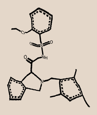 COc1ccccc1S(=O)(=O)NC(=O)C1c2ccccc2CN1Cc1c(C)cc(C)cc1C